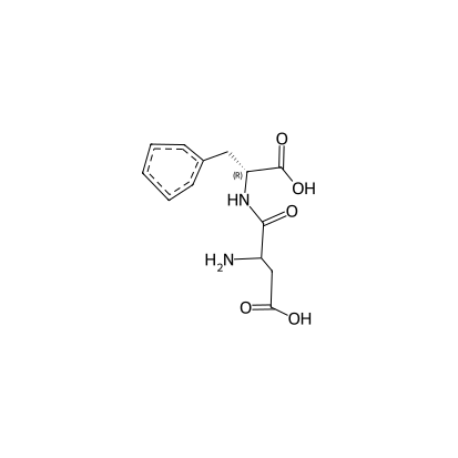 NC(CC(=O)O)C(=O)N[C@H](Cc1ccccc1)C(=O)O